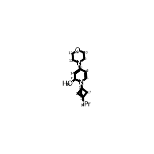 CC(C)C12CC(N3C=CC(N4CCOCC4)=CC3O)(C1)C2